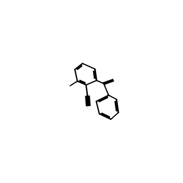 N#Cc1c(Br)cccc1C(=O)c1ccccc1